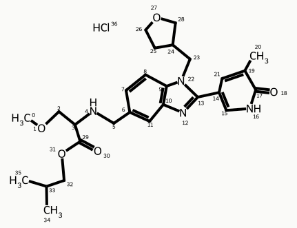 COCC(NCc1ccc2c(c1)nc(-c1c[nH]c(=O)c(C)c1)n2CC1CCOC1)C(=O)OCC(C)C.Cl